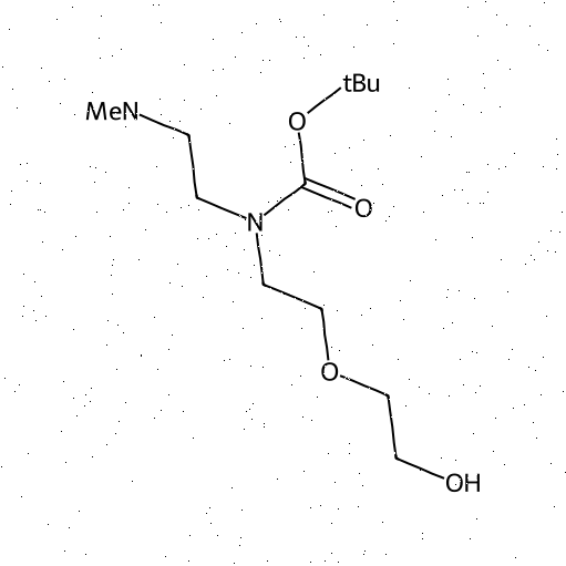 CNCCN(CCOCCO)C(=O)OC(C)(C)C